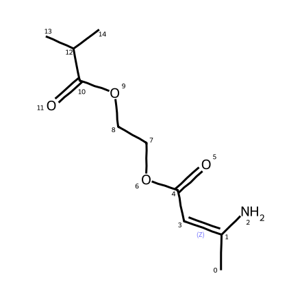 C/C(N)=C/C(=O)OCCOC(=O)C(C)C